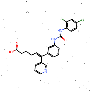 O=C(O)CCC/C=C(\c1cccnc1)c1cccc(NC(=O)Nc2ccc(Cl)cc2Cl)c1